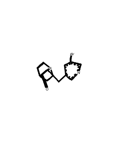 O=C1C2CCN(CC2)C1Cc1cncc(Br)c1